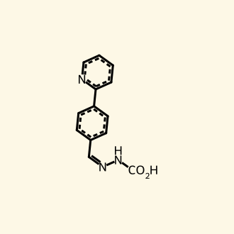 O=C(O)N/N=C\c1ccc(-c2ccccn2)cc1